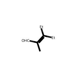 CCC(CC)=C(C)C=O